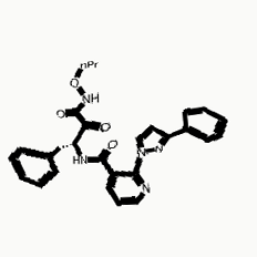 CCCONC(=O)C(=O)[C@@H](Cc1ccccc1)NC(=O)c1cccnc1-n1ccc(-c2ccccc2)n1